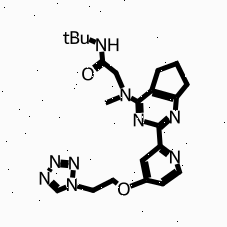 CN(CC(=O)NC(C)(C)C)c1nc(-c2cc(OCCn3cnnn3)ccn2)nc2c1CCC2